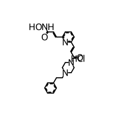 Cl.O=C(/C=C/c1cccc(/C=C/C(=O)N2CCN(CCc3ccccc3)CC2)n1)NO